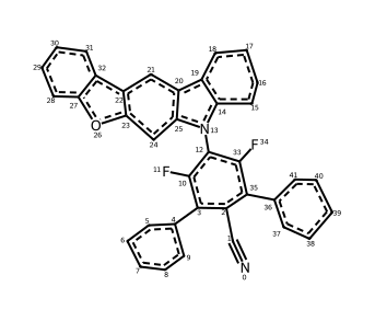 N#Cc1c(-c2ccccc2)c(F)c(-n2c3ccccc3c3cc4c(cc32)oc2ccccc24)c(F)c1-c1ccccc1